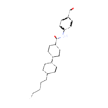 CCCCCC1CCC(C2CCC(C(=O)Nc3ccc(C=O)cc3)CC2)CC1